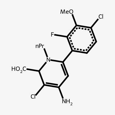 CCCN1C(c2ccc(Cl)c(OC)c2F)=CC(N)=C(Cl)C1C(=O)O